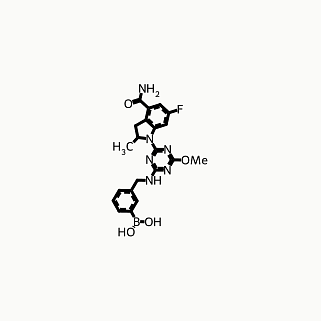 COc1nc(NCc2cccc(B(O)O)c2)nc(N2c3cc(F)cc(C(N)=O)c3CC2C)n1